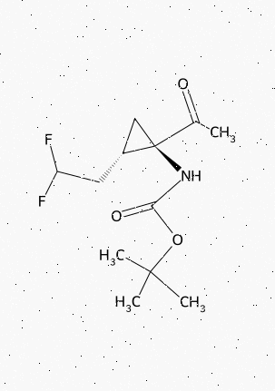 CC(=O)[C@@]1(NC(=O)OC(C)(C)C)C[C@H]1CC(F)F